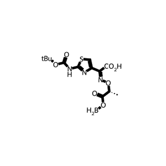 BOC(=O)[C@@H](C)O/N=C(\C(=O)O)c1csc(NC(=O)OC(C)(C)C)n1